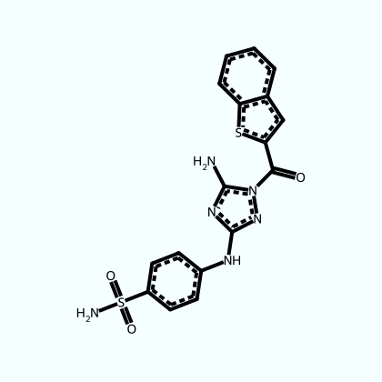 Nc1nc(Nc2ccc(S(N)(=O)=O)cc2)nn1C(=O)c1cc2ccccc2s1